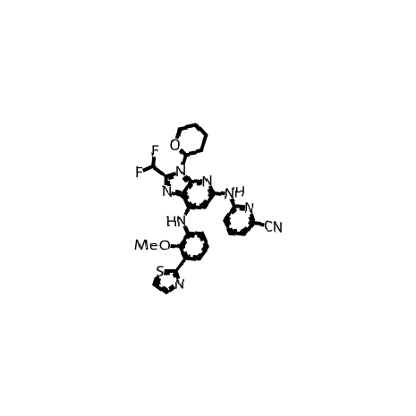 COc1c(Nc2cc(Nc3cccc(C#N)n3)nc3c2nc(C(F)F)n3C2CCCCO2)cccc1-c1nccs1